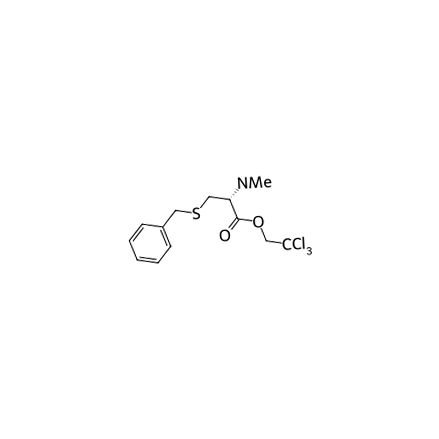 CN[C@@H](CSCc1ccccc1)C(=O)OCC(Cl)(Cl)Cl